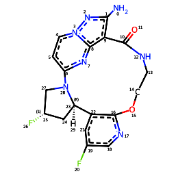 Nc1nn2ccc3nc2c1C(=O)NCCOc1ncc(F)cc1[C@H]1C[C@H](F)CN31